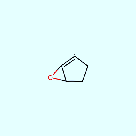 [C]1=C2OC2CC1